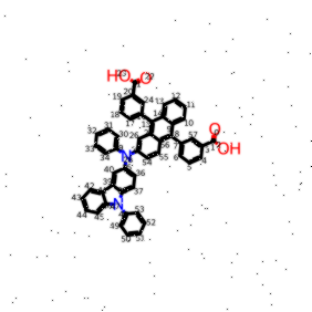 O=C(O)c1cccc(-c2c3ccccc3c(-c3cccc(C(=O)O)c3)c3cc(N(c4ccccc4)c4ccc5c(c4)c4ccccc4n5-c4ccccc4)ccc23)c1